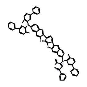 C=C(C)/C(=C\C(=C/C)c1ccccc1)N(c1ccc2cc3c(cc2c1)oc1c3ccc2c3cc4ccc(N(c5cc(-c6ccccc6)ccc5C)c5cc(-c6ccccc6)ccc5C)cc4cc3oc21)c1cc(-c2ccccc2)ccc1C